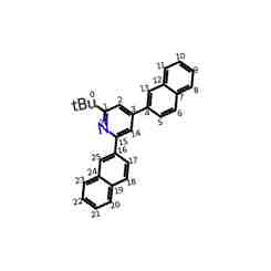 CC(C)(C)c1cc(-c2ccc3ccccc3c2)cc(-c2ccc3ccccc3c2)n1